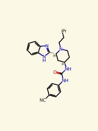 CC(C)CCN1CC[C@@H](NC(=O)Nc2ccc(C#N)cc2)C[C@@H]1c1nc2ccccc2[nH]1